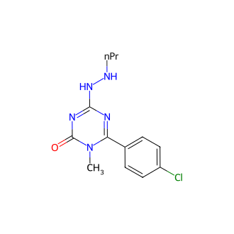 CCCNNc1nc(-c2ccc(Cl)cc2)n(C)c(=O)n1